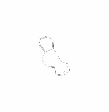 c1ccc2c(c1)CN=C1C3CCN(CC3)C1C2